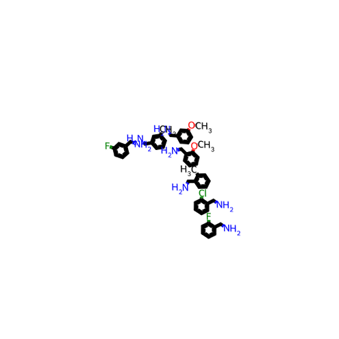 COc1cccc(CN)c1.COc1ccccc1CN.Cc1cccc(CN)c1.Cc1ccccc1CN.NCc1cccc(F)c1.NCc1ccccc1Cl.NCc1ccccc1F